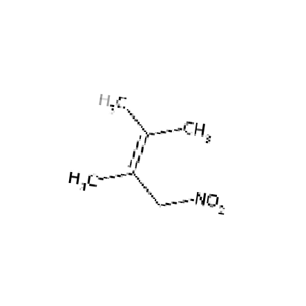 CC(C)=C(C)C[N+](=O)[O-]